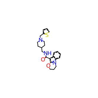 O=C(NCC1CCN(Cc2cccs2)CC1)c1c2n(c3ccccc13)CCCO2